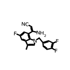 Cc1cn(Cc2ccc(F)c(F)c2)c2c(/C(N)=C\C#N)cc(F)cc12